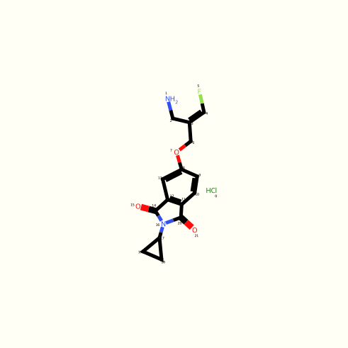 Cl.NC/C(=C\F)COc1ccc2c(c1)C(=O)N(C1CC1)C2=O